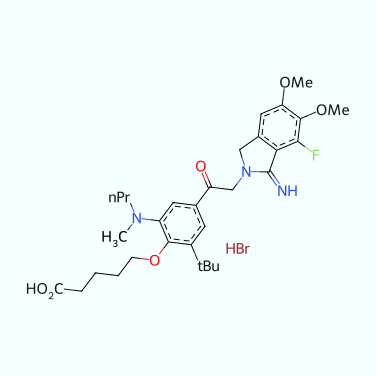 Br.CCCN(C)c1cc(C(=O)CN2Cc3cc(OC)c(OC)c(F)c3C2=N)cc(C(C)(C)C)c1OCCCCC(=O)O